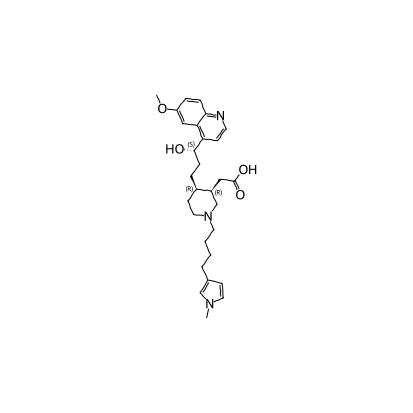 COc1ccc2nccc([C@@H](O)CC[C@@H]3CCN(CCCCc4ccn(C)c4)C[C@@H]3CC(=O)O)c2c1